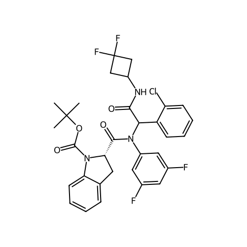 CC(C)(C)OC(=O)N1c2ccccc2C[C@H]1C(=O)N(c1cc(F)cc(F)c1)C(C(=O)NC1CC(F)(F)C1)c1ccccc1Cl